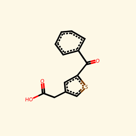 O=C(O)Cc1csc(C(=O)c2ccccc2)c1